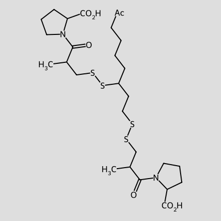 CC(=O)CCCCC(CCSSCC(C)C(=O)N1CCCC1C(=O)O)SSCC(C)C(=O)N1CCCC1C(=O)O